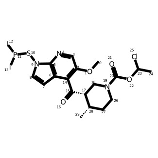 COc1cnc2c(ccn2SP(I)I)c1C(=O)[C@@H]1CN(C(=O)OC(C)Cl)CC[C@@H]1C